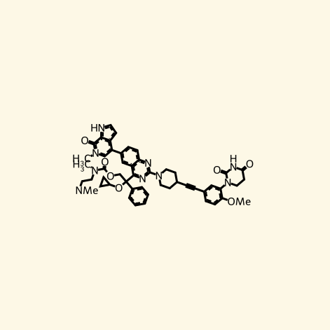 CNCCN(C)C(=O)OCC(OC1CC1)(c1ccccc1)c1nc(N2CCC(C#Cc3ccc(OC)c(N4CCC(=O)NC4=O)c3)CC2)nc2ccc(-c3cn(C)c(=O)c4[nH]ccc34)cc12